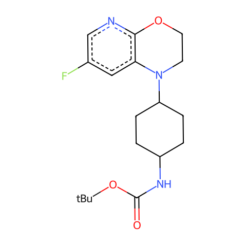 CC(C)(C)OC(=O)NC1CCC(N2CCOc3ncc(F)cc32)CC1